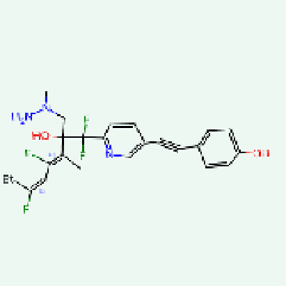 CC/C(F)=C\C(F)=C(/C)C(O)(CN(C)N)C(F)(F)c1ccc(C#Cc2ccc(O)cc2)cn1